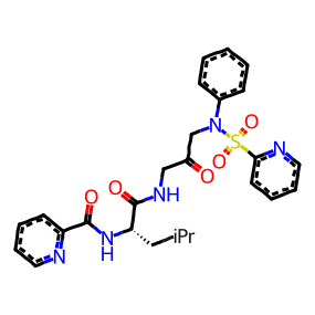 CC(C)C[C@H](NC(=O)c1ccccn1)C(=O)NCC(=O)CN(c1ccccc1)S(=O)(=O)c1ccccn1